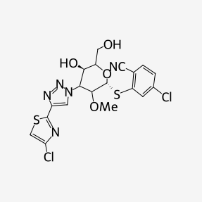 COC1C(n2cc(-c3nc(Cl)cs3)nn2)[C@@H](O)C(CO)O[C@@H]1Sc1cc(Cl)ccc1C#N